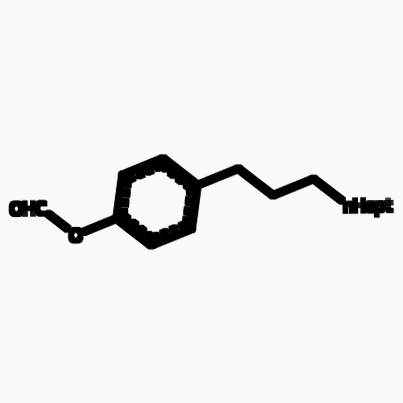 CCCCCCCCCCc1ccc(OC=O)cc1